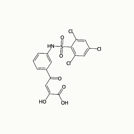 O=C(O)/C(O)=C\C(=O)c1cccc(NS(=O)(=O)c2c(Cl)cc(Cl)cc2Cl)c1